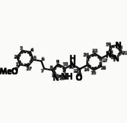 COc1cccc(CCc2cc(NC(=O)c3ccc(-n4cncn4)cc3)[nH]n2)c1